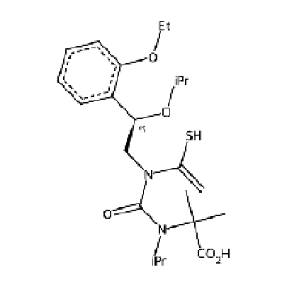 C=C(S)N(C[C@H](OC(C)C)c1ccccc1OCC)C(=O)N(C(C)C)C(C)(C)C(=O)O